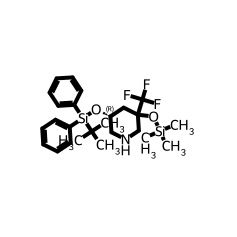 CC(C)(C)[Si](O[C@H]1CNCC(O[Si](C)(C)C)(C(F)(F)F)C1)(c1ccccc1)c1ccccc1